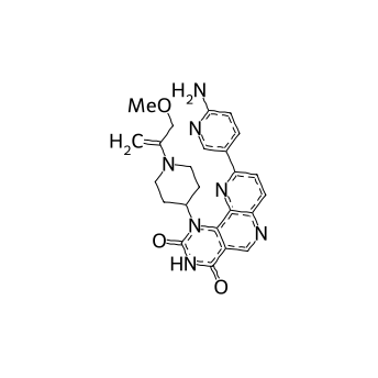 C=C(COC)N1CCC(n2c(=O)[nH]c(=O)c3cnc4ccc(-c5ccc(N)nc5)nc4c32)CC1